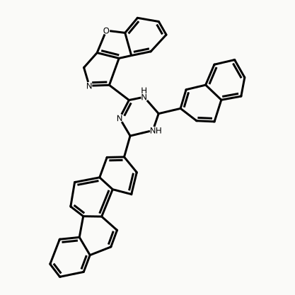 c1ccc2cc(C3NC(C4=NCc5oc6ccccc6c54)=NC(c4ccc5c(ccc6c7ccccc7ccc56)c4)N3)ccc2c1